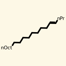 CCCC=CCCCCCCCCCCCCCCCC